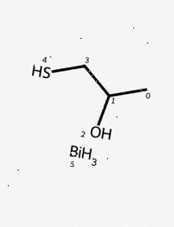 CC(O)CS.[BiH3]